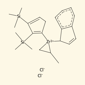 C[CH]1[CH2][Zr+2]1([C]1=C([Si](C)(C)C)C([Si](C)(C)C)=CC1)[CH]1C=Cc2ccccc21.[Cl-].[Cl-]